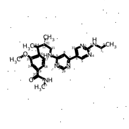 CCNc1ncc(-c2cc(NC[C@@H](C)C(C)c3ccc(C(=O)NC)cc3OC)ncn2)cn1